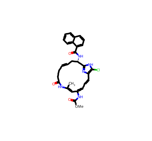 COC(=O)NC1=C/C=C/c2nc([nH]c2Cl)[C@@H](NC(=O)c2cccc3ccccc23)C/C=C/CCC(=O)N\C(C)=C\1